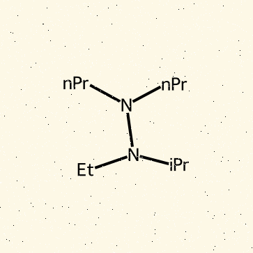 CCCN(CCC)N(CC)C(C)C